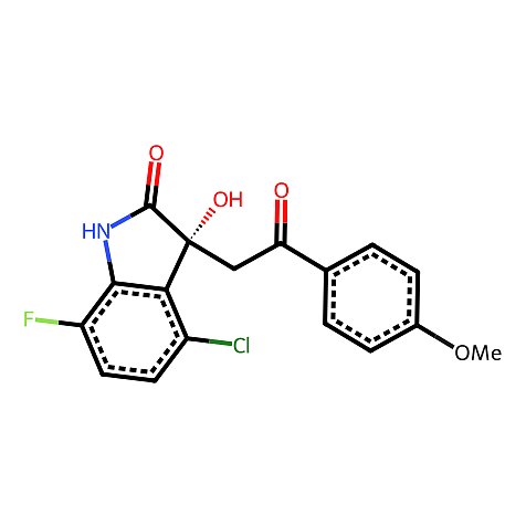 COc1ccc(C(=O)C[C@]2(O)C(=O)Nc3c(F)ccc(Cl)c32)cc1